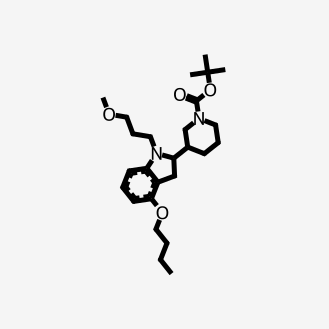 CCCCOc1cccc2c1CC(C1CCCN(C(=O)OC(C)(C)C)C1)N2CCCOC